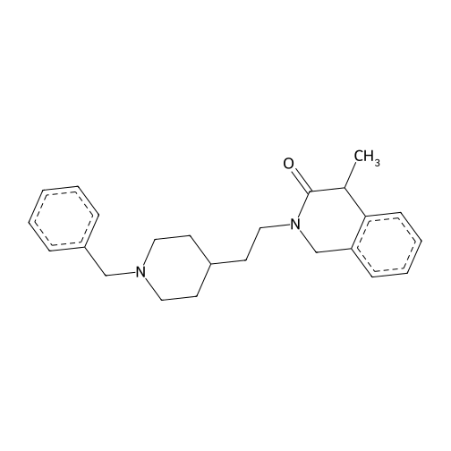 CC1C(=O)N(CCC2CCN(Cc3ccccc3)CC2)Cc2ccccc21